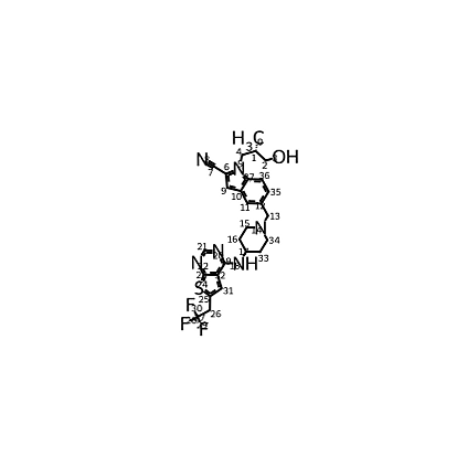 C[C@H](CO)Cn1c(C#N)cc2cc(CN3CCC(Nc4ncnc5sc(CC(F)(F)F)cc45)CC3)ccc21